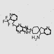 NC1c2cccnc2CC12CCN(c1nc3nc(Sc4cccnc4C(F)(F)F)cnc3[nH]1)CC2